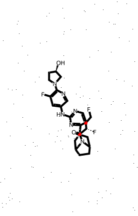 O=C([C@@H](F)CCF)N1C2CCC1CN(c1ccnc(Nc3cnc(N4CC[C@@H](O)C4)c(F)c3)n1)C2